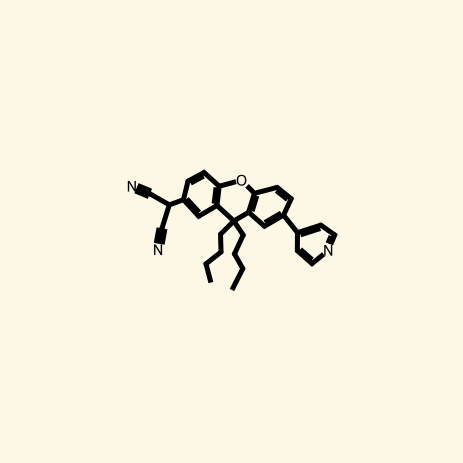 CCCCC1(CCCC)c2cc(-c3ccncc3)ccc2Oc2ccc(C(C#N)C#N)cc21